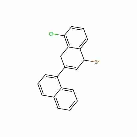 Clc1cccc2c1CC(c1cccc3ccccc13)=[C]C2Br